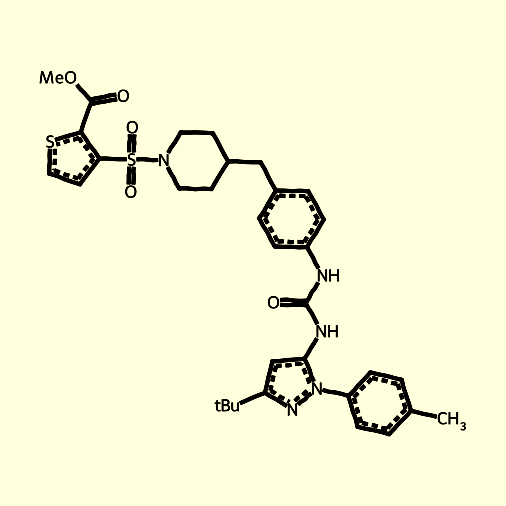 COC(=O)c1sccc1S(=O)(=O)N1CCC(Cc2ccc(NC(=O)Nc3cc(C(C)(C)C)nn3-c3ccc(C)cc3)cc2)CC1